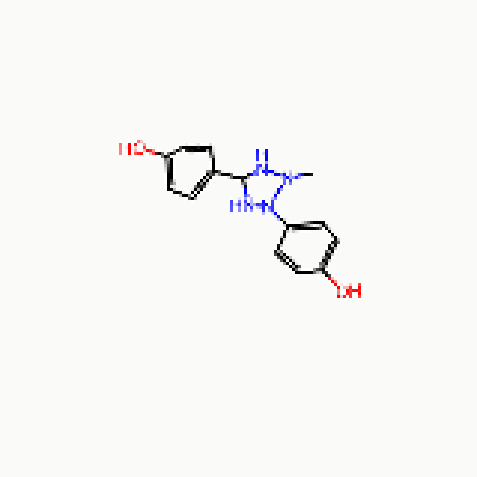 CN1NC(c2ccc(O)cc2)NN1c1ccc(O)cc1